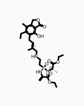 C=C(NP(=O)(CCNC/C(C)=C/Cc1c(O)c2c(c(C)c1CC)COC2=O)N[C@@H](C)C(=O)OCC)C(=O)OCC